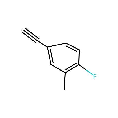 [C]#Cc1ccc(F)c(C)c1